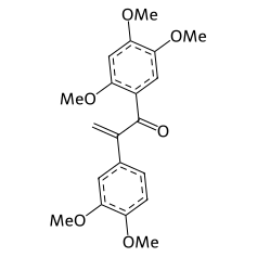 C=C(C(=O)c1cc(OC)c(OC)cc1OC)c1ccc(OC)c(OC)c1